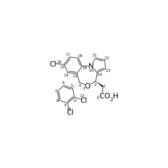 O=C(O)C[C@H]1O[C@H](c2cccc(Cl)c2Cl)c2cc(Cl)ccc2-n2cccc21